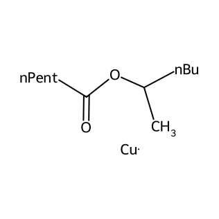 CCCCCC(=O)OC(C)CCCC.[Cu]